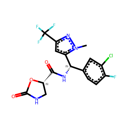 Cn1nc(C(F)(F)F)cc1[C@@H](NC(=O)[C@@H]1CNC(=O)O1)c1ccc(F)c(Cl)c1